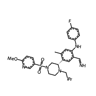 COc1ccc(S(=O)(=O)N2CCN(CC(C)C)[C@@H](c3cc(C=N)c(Nc4ccc(F)cc4)cc3C)C2)cn1